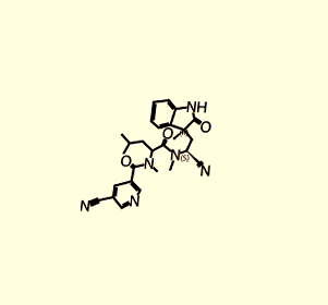 CC(C)CC(C(=O)N(C)[C@H](C#N)C[C@@]1(C)C(=O)Nc2ccccc21)N(C)C(=O)c1cncc(C#N)c1